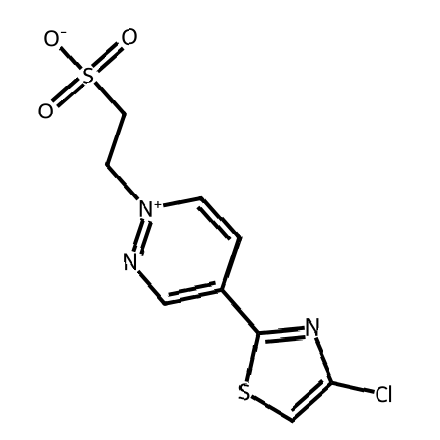 O=S(=O)([O-])CC[n+]1ccc(-c2nc(Cl)cs2)cn1